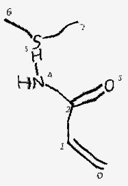 C=CC(=O)N[SH](C)C